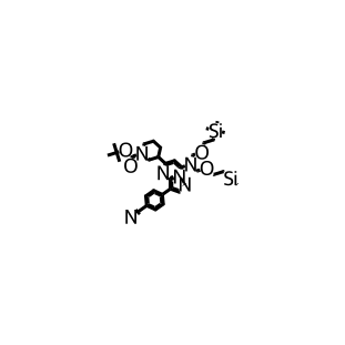 CC(C)(C)OC(=O)N1CCCC(c2cc(N(COCC[Si](C)(C)C)COCC[Si](C)(C)C)n3ncc(-c4ccc(C#N)cc4)c3n2)C1